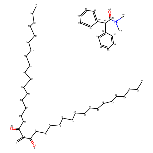 C=C(C(=O)CCCCCCCCCCCCCCCCC)C(=O)CCCCCCCCCCCCCCCCC.CN(C)C(=O)C(c1ccccc1)c1ccccc1